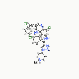 CC(C)(C)N1CCC(n2cc(C(Nc3cc(Cl)c4ncc(C#N)c(Nc5cc(Cl)ccc5Cl)c4c3)c3ccccc3)nn2)CC1